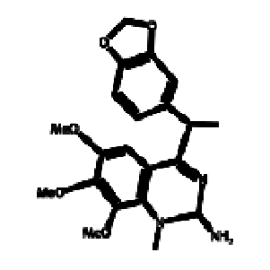 COc1cc2c(c(OC)c1OC)N(C)C(N)N=C2C(C)c1ccc2c(c1)OCO2